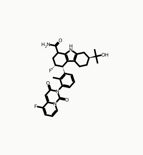 Cc1c([C@H]2c3c([nH]c4c3CC[C@H](C(C)(C)O)C4)C(C(N)=O)C[C@H]2F)cccc1-n1c(=O)cc2c(F)cccn2c1=O